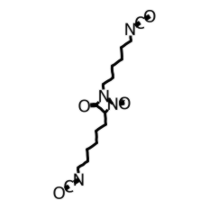 O=C=NCCCCCCC1C(=O)N(CCCCCCN=C=O)[N+]1=O